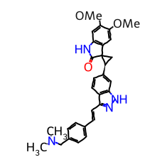 COc1cc2c(cc1OC)C1(C[C@H]1c1ccc3c(/C=C/c4ccc(CN(C)C)cc4)n[nH]c3c1)C(=O)N2